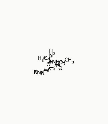 CCOC(=O)[C@H](CCCCN=[N+]=[N-])NC(=O)[C@H](C)N